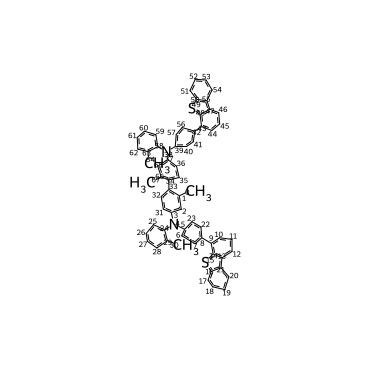 Cc1cc(N(c2ccc(-c3cccc4c3sc3ccccc34)cc2)c2ccccc2C)ccc1-c1ccc(N(c2ccc(-c3cccc4c3sc3ccccc34)cc2)c2ccccc2C)cc1C